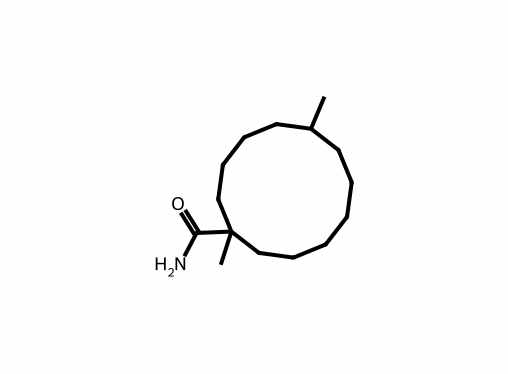 CC1CCCCCCC(C)(C(N)=O)CCCC1